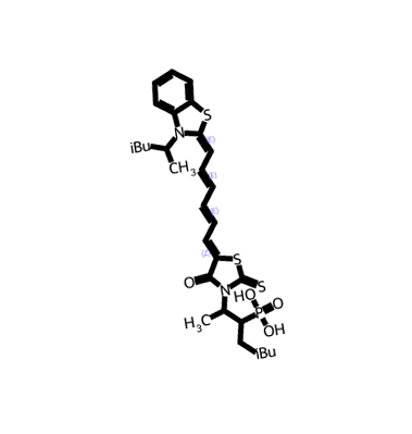 CCC(C)CC(C(C)N1C(=O)/C(=C/C=C/C=C/C=C2/Sc3ccccc3N2C(C)C(C)CC)SC1=S)P(=O)(O)O